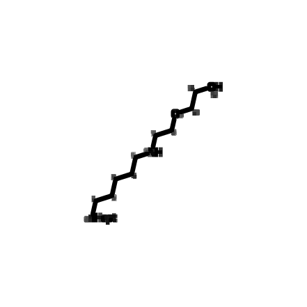 CCCCCCCCCCCCNCCOCCO